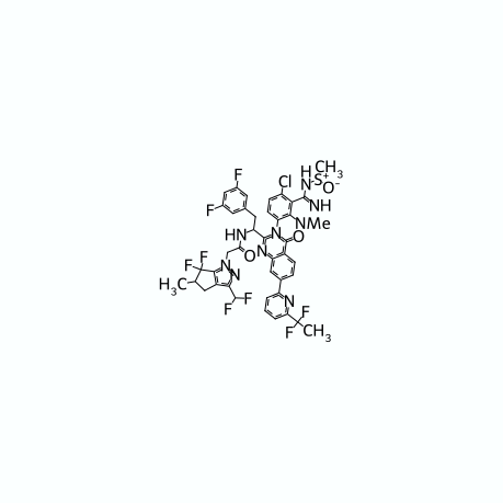 CNc1c(-n2c(C(Cc3cc(F)cc(F)c3)NC(=O)Cn3nc(C(F)F)c4c3C(F)(F)C(C)C4)nc3cc(-c4cccc(C(C)(F)F)n4)ccc3c2=O)ccc(Cl)c1C(=N)N[S+](C)[O-]